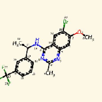 COc1cc2nc(C)nc(N[C@H](C)c3cccc(C(F)(F)F)c3)c2cc1Br